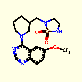 O=S1(=O)NCCN1CC1CCCN(c2ncnc3ccc(OC(F)(F)F)cc23)C1